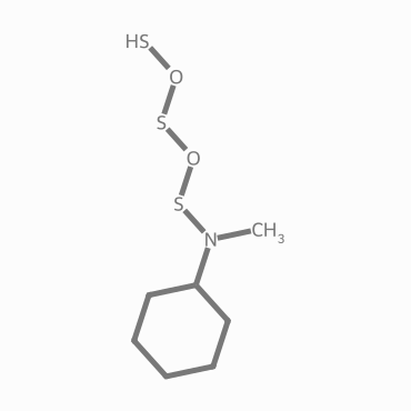 CN(SOSOS)C1CCCCC1